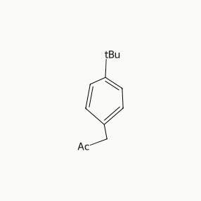 CC(=O)Cc1ccc(C(C)(C)C)cc1